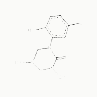 Cc1ccc(Cl)cc1N1CN(C)CN(C)C1=S